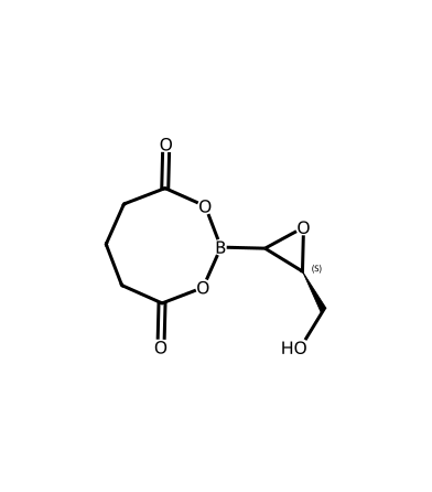 O=C1CCCC(=O)OB(C2O[C@H]2CO)O1